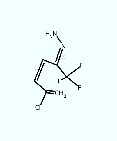 C=C(Cl)/C=C\C(=N/N)C(F)(F)F